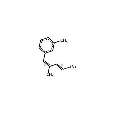 CC(=C/c1cccc(C)c1)/C=C/C(C)(C)C